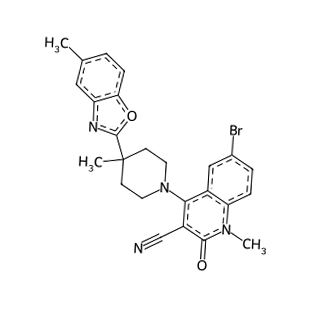 Cc1ccc2oc(C3(C)CCN(c4c(C#N)c(=O)n(C)c5ccc(Br)cc45)CC3)nc2c1